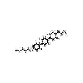 CCCCCOc1ccc(-c2ccc(C3CCC(CCCC)CC3)cc2)cc1